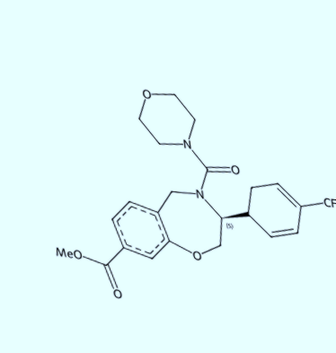 COC(=O)c1ccc2c(c1)OC[C@H](C1C=CC(C(F)(F)F)=CC1)N(C(=O)N1CCOCC1)C2